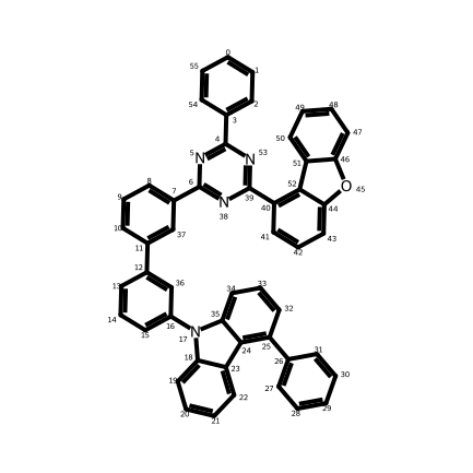 c1ccc(-c2nc(-c3cccc(-c4cccc(-n5c6ccccc6c6c(-c7ccccc7)cccc65)c4)c3)nc(-c3cccc4oc5ccccc5c34)n2)cc1